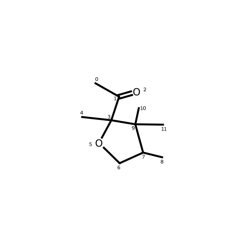 CC(=O)C1(C)OCC(C)C1(C)C